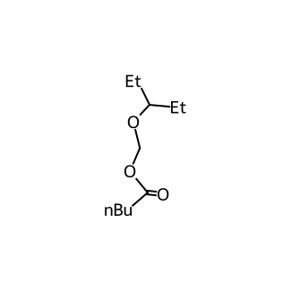 CCCCC(=O)OCOC(CC)CC